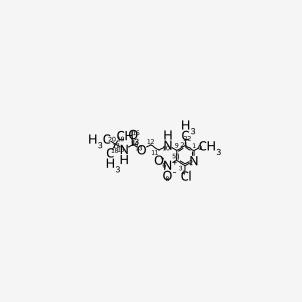 Cc1nc(Cl)c([N+](=O)[O-])c(NCCOC(=O)NC(C)(C)C)c1C